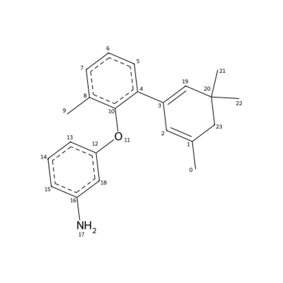 CC1=CC(c2cccc(C)c2Oc2cccc(N)c2)=CC(C)(C)C1